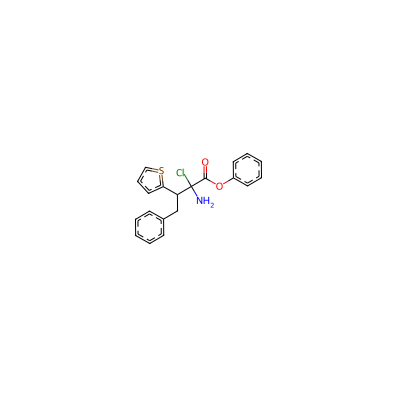 NC(Cl)(C(=O)Oc1ccccc1)C(Cc1ccccc1)c1cccs1